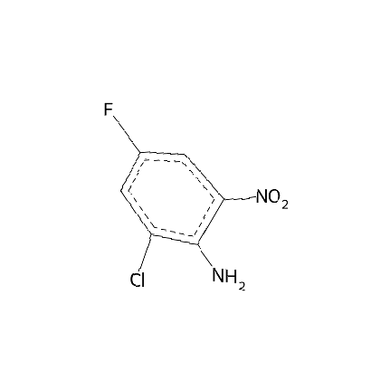 Nc1c(Cl)cc(F)cc1[N+](=O)[O-]